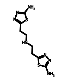 Nc1nnc(CCNCCc2nnc(N)s2)s1